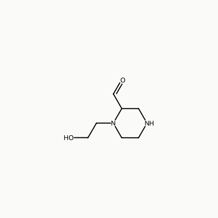 O=CC1CNCCN1CCO